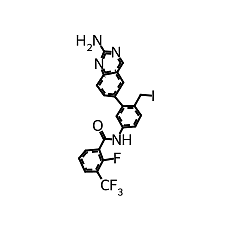 Nc1ncc2cc(-c3cc(NC(=O)c4cccc(C(F)(F)F)c4F)ccc3CI)ccc2n1